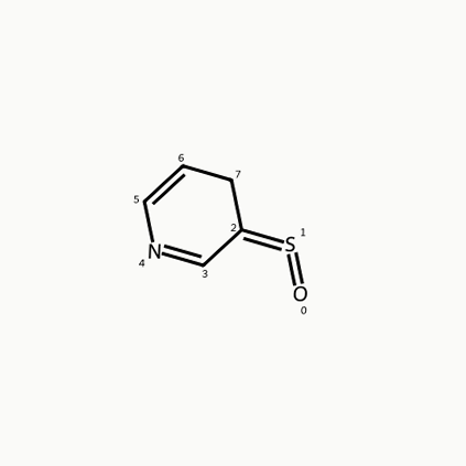 O=S=C1C=NC=CC1